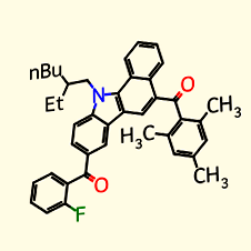 CCCCC(CC)Cn1c2ccc(C(=O)c3ccccc3F)cc2c2cc(C(=O)c3c(C)cc(C)cc3C)c3ccccc3c21